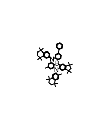 Cc1cc2c3c(c1)N(c1cc4c(cc1C)C(C)(C)CCC4(C)C)c1cc4c(cc1B3c1ccc(-c3ccccc3)cc1N2c1ccc2c(c1)C(C)(C)CCC2(C)C)C(C)(C)CC4(C)C